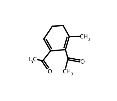 CC(=O)C1=CCCC(C)=C1C(C)=O